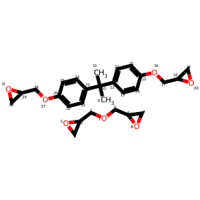 C(OCC1CO1)C1CO1.CC(C)(c1ccc(OCC2CO2)cc1)c1ccc(OCC2CO2)cc1